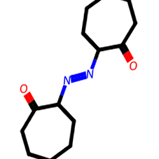 O=C1CCCCCC1N=NC1CCCCCC1=O